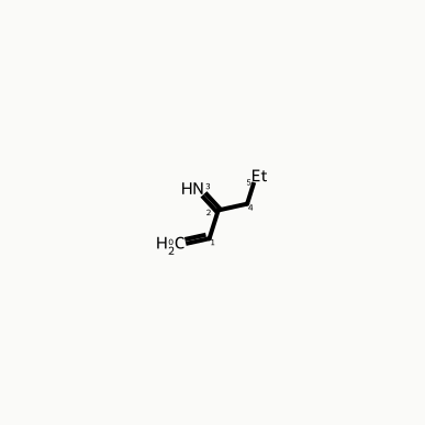 C=CC(=N)CCC